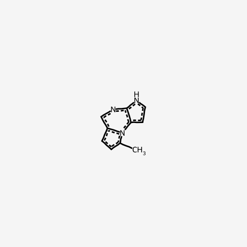 Cc1ccc2cnc3[nH]ccc3n12